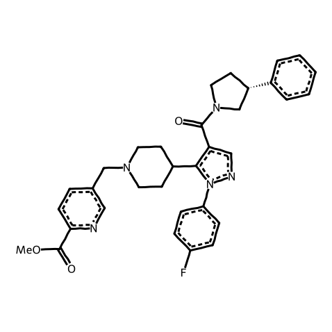 COC(=O)c1ccc(CN2CCC(c3c(C(=O)N4CC[C@H](c5ccccc5)C4)cnn3-c3ccc(F)cc3)CC2)cn1